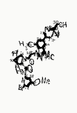 COc1cc(Br)nc(NC(=O)[C@@H]2[C@@H]3C[C@@H]3CN2C(=O)Cn2nc(C(C)=O)c3cc(-c4cnc(CO)nc4)cc(C)c32)c1